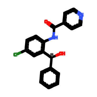 O=C(Nc1ccc(Cl)cc1[C@@H](O)c1ccccc1)c1ccncc1